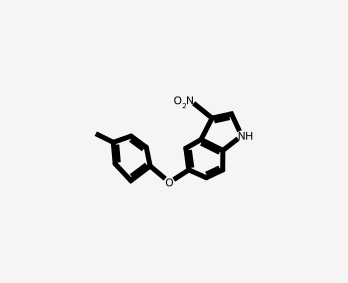 Cc1ccc(Oc2ccc3[nH]cc([N+](=O)[O-])c3c2)cc1